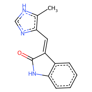 Cc1[nH]cnc1C=C1C(=O)Nc2ccccc21